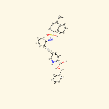 COc1ccc(S(=O)(=O)Nc2ccccc2C#Cc2ccc(C(=O)OCc3ccccc3)nc2)c2ccccc12